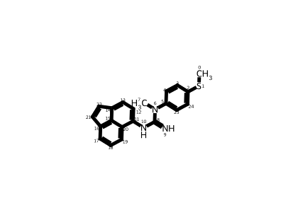 CSc1ccc(N(C)C(=N)Nc2ccc3c4c(cccc24)C=C3)cc1